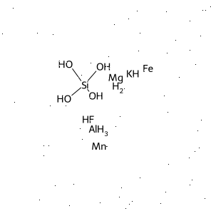 F.O[Si](O)(O)O.[AlH3].[Fe].[KH].[MgH2].[Mn]